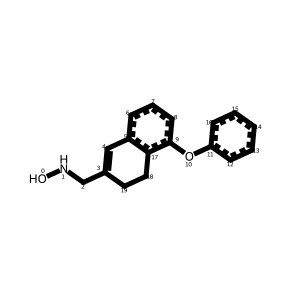 ONCC1=Cc2cccc(Oc3ccccc3)c2CC1